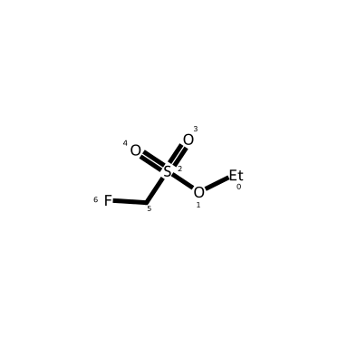 CCOS(=O)(=O)CF